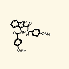 COc1ccc(NC(=O)c2[nH]c3ccccc3c2NC(=O)c2ccc(OC)cc2)cc1